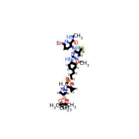 CNC(=O)c1nc(Br)ccc1Nc1nc(Nc2ccc(CCCP(C)(=O)OC3(Cn4cc(B5OC(C)(C)C(C)(C)O5)cn4)CC3)cc2OC)ncc1C(F)(F)F